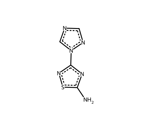 Nc1nc(-n2cncn2)ns1